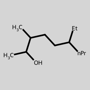 CCCC(CC)CCC(C)C(C)O